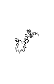 CCC(CC)(CO)NC(=O)c1ccc(N2CC(OC)C2)c(OCC2(COCF)COC2)n1